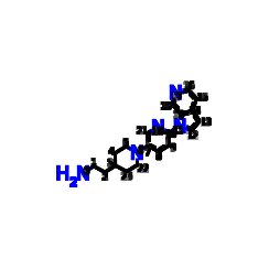 NCCC1CCN(c2ccc(-n3ccc4ccncc43)nc2)CC1